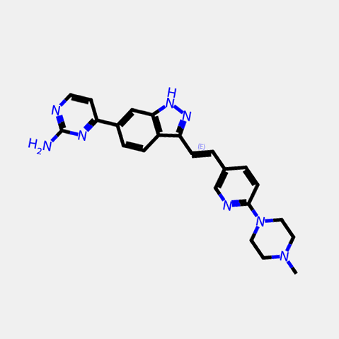 CN1CCN(c2ccc(/C=C/c3n[nH]c4cc(-c5ccnc(N)n5)ccc34)cn2)CC1